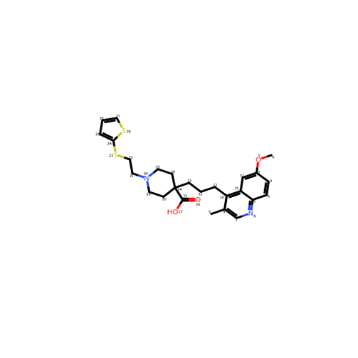 COc1ccc2ncc(C)c(CCCC3(C(=O)O)CCN(CCSc4cccs4)CC3)c2c1